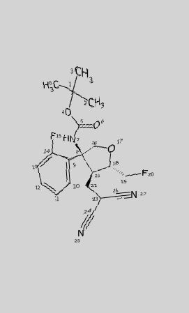 CC(C)(C)OC(=O)N[C@@]1(c2ccccc2F)CO[C@H](CF)[C@H]1CC(C#N)C#N